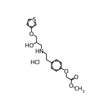 COC(=O)COc1ccc(CCNCC(O)COc2ccsc2)cc1.Cl